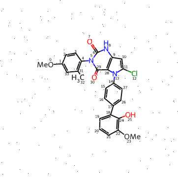 COc1ccc(-n2c(=O)[nH]c3cc(Cl)n(-c4ccc(-c5cccc(OC)c5O)cc4)c3c2=O)c(C)c1